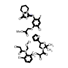 CC1(C)OC(c2ccco2)CN1C(=O)C(Cl)Cl.CCOCN(C(=O)CCl)c1c(C)cccc1CC.COC(=O)CSc1cc(/N=c2\sc(=O)n3n2CCCC3)c(F)cc1Cl